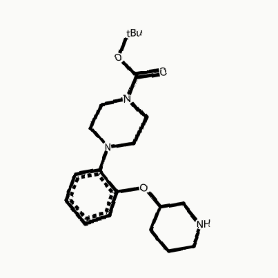 CC(C)(C)OC(=O)N1CCN(c2ccccc2OC2CCCNC2)CC1